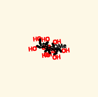 CO[Si](CCO)(CCO)O[Si](CCO)(CCO)O[Si](CCO)(CCO)O[Si](C)(CCO)CCO